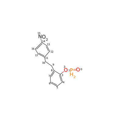 O=[PH2]Oc1ccccc1CCc1ccc([N+](=O)[O-])cc1